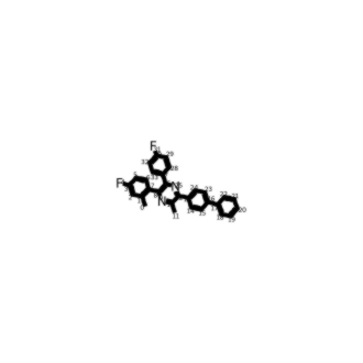 Cc1cc(F)ccc1-c1nc(C)c(-c2ccc(-c3ccccc3)cc2)nc1-c1ccc(F)cc1